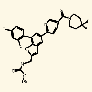 CC(C)(C)OC(=O)NCc1cc2cc(-c3ccc(C(=S)N4CCC(F)(F)CC4)cn3)cc(-c3ccc(F)cc3F)c2o1